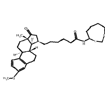 COc1ccc2c(c1)CC[C@H]1[C@@H]3[C@H](CCCCCC(=O)NC4CCCCCCC4)CC(=O)[C@@]3(C)CC[C@H]21